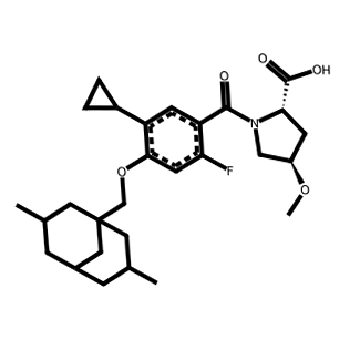 CO[C@@H]1C[C@@H](C(=O)O)N(C(=O)c2cc(C3CC3)c(OCC34CC(C)CC(CC(C)C3)C4)cc2F)C1